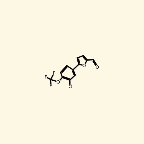 O=Cc1ccc(-c2ccc(OC(F)(F)F)c(Cl)c2)o1